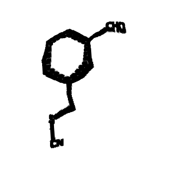 N#CSCc1cccc(C=O)c1